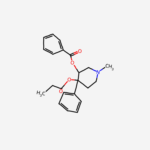 CCC(=O)OC1(c2ccccc2)CCN(C)CC1OC(=O)c1ccccc1